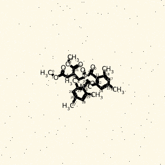 COC(=O)CC(CP(=O)(C(=O)c1c(C)cc(C)cc1C)C(=O)c1c(C)cc(C)cc1C)C(=O)OC